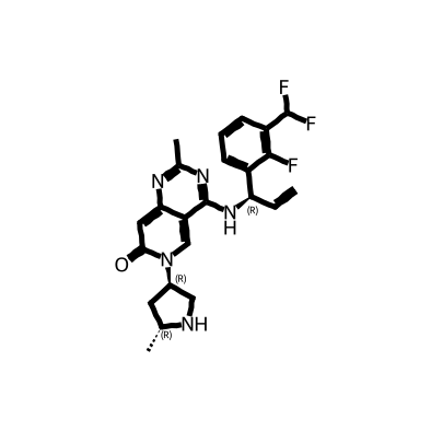 C=C[C@@H](Nc1nc(C)nc2cc(=O)n([C@H]3CN[C@H](C)C3)cc12)c1cccc(C(F)F)c1F